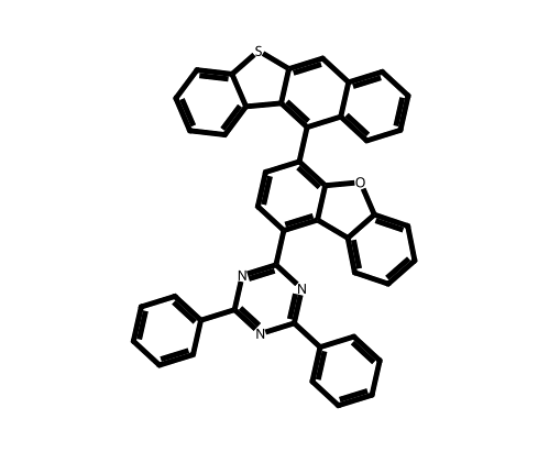 c1ccc(-c2nc(-c3ccccc3)nc(-c3ccc(-c4c5ccccc5cc5sc6ccccc6c45)c4oc5ccccc5c34)n2)cc1